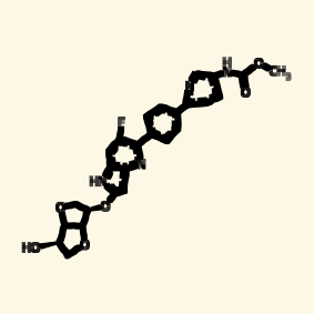 COC(=O)Nc1ccc(-c2ccc(-c3nc4cc(O[C@@H]5COC6C5OC[C@H]6O)[nH]c4cc3F)cc2)nc1